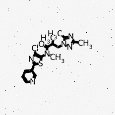 Cc1nc(C)n(CC(C)C(=O)N(C)c2sc(-c3cccnc3)nc2Cl)n1